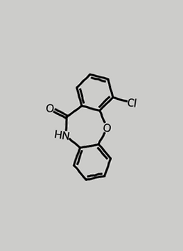 O=C1Nc2ccccc2Oc2c(Cl)cccc21